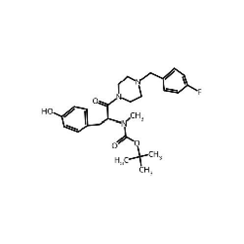 CN(C(=O)OC(C)(C)C)C(Cc1ccc(O)cc1)C(=O)N1CCN(Cc2ccc(F)cc2)CC1